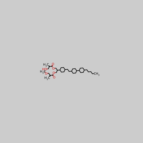 C=C(CO)C(=O)OCC(COC(=O)C(=C)COC)C1CCC(CCC2CCC(C3CCC(CCCCC)CC3)CC2)CC1